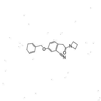 N#Cc1cc(OCC2=CCCC=C2)ccc1CC(=O)N1CCC1